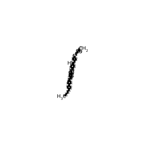 C=CC(=O)OCCCOc1ccc(CNc2ccc(N=Nc3nc4sc(N=Nc5ccc(C6CCC(CCCCCC)CC6)cc5)cc4s3)cc2)cc1